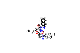 CC(C)CC(C(=O)NC(C=O)CC(=O)O)C(=O)NC(CCC(=O)O)C(=O)Nc1ccc2ccccc2c1